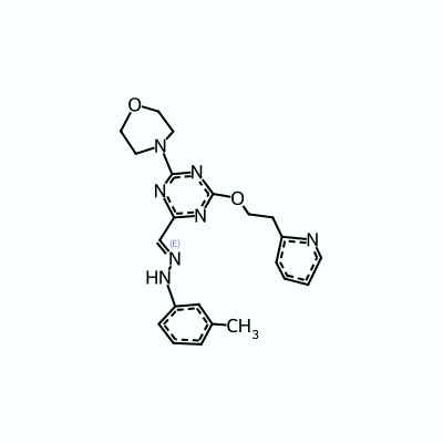 Cc1cccc(N/N=C/c2nc(OCCc3ccccn3)nc(N3CCOCC3)n2)c1